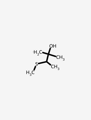 [CH2]C(C)(O)C(C)SC